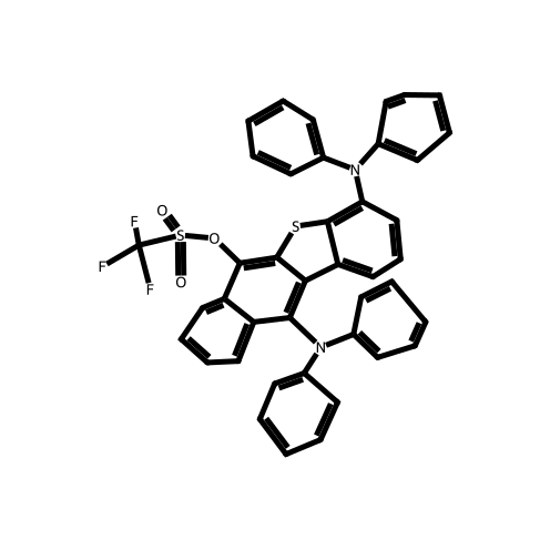 O=S(=O)(Oc1c2ccccc2c(N(c2ccccc2)c2ccccc2)c2c1sc1c(N(c3ccccc3)c3ccccc3)cccc12)C(F)(F)F